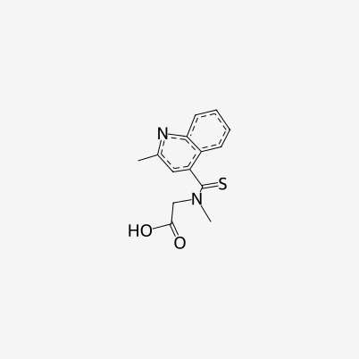 Cc1cc(C(=S)N(C)CC(=O)O)c2ccccc2n1